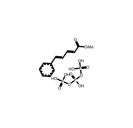 COC(=O)C=CC=Cc1ccccc1.O=P(O)(O)OP(=O)(O)OP(=O)(O)O